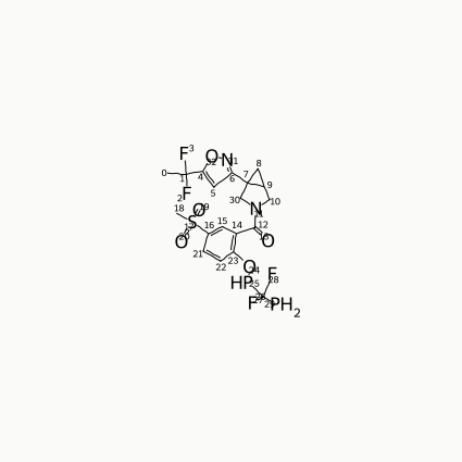 CC(F)(F)c1cc(C23CC2CN(C(=O)c2cc(S(C)(=O)=O)ccc2OPC(F)(F)P)C3)no1